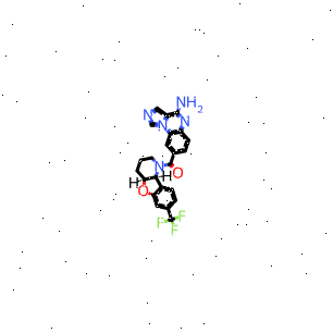 Nc1nc2ccc(C(=O)N3CCC[C@@H]4Oc5cc(C(F)(F)F)ccc5[C@@H]43)cc2n2cncc12